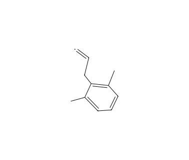 [CH]=CCc1c(C)cccc1C